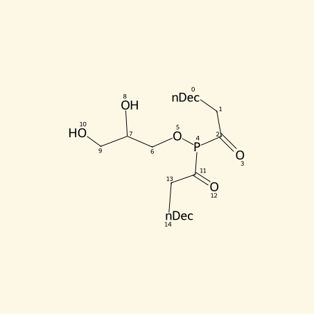 CCCCCCCCCCCC(=O)P(OCC(O)CO)C(=O)CCCCCCCCCCC